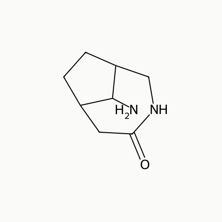 NC1C2CCC1CC(=O)NC2